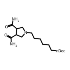 CCCCCCCCCCCCCCCCN1CC(C(N)=O)C(C(N)=O)C1